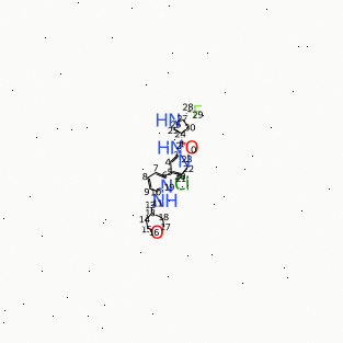 O=C(Nc1cc(-c2cccc(NCC3CCOCC3)n2)c(Cl)cn1)[C@@H]1CN[C@H](CF)C1